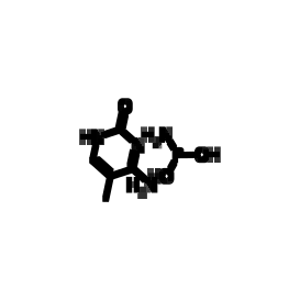 Cc1c[nH]c(=O)nc1N.NP(O)O